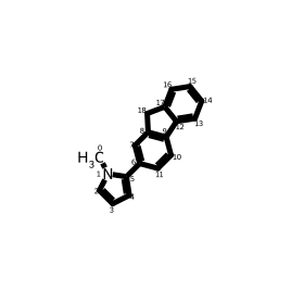 Cn1cccc1-c1[c]c2c(cc1)-c1ccccc1C2